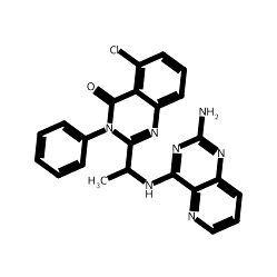 CC(Nc1nc(N)nc2cccnc12)c1nc2cccc(Cl)c2c(=O)n1-c1ccccc1